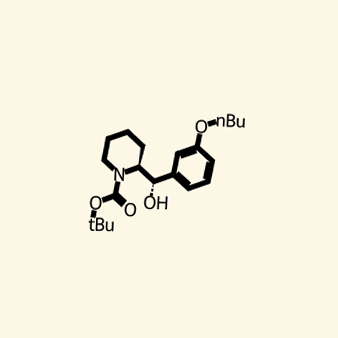 CCCCOc1cccc([C@H](O)[C@@H]2CCCCN2C(=O)OC(C)(C)C)c1